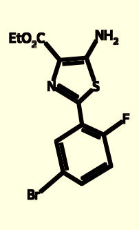 CCOC(=O)c1nc(-c2cc(Br)ccc2F)sc1N